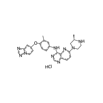 Cc1cc(Nc2ncnc3ccc(N4CCN[C@H](C)C4)nc23)ccc1Oc1ccn2ncnc2c1.Cl